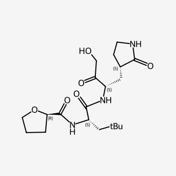 CC(C)(C)C[C@H](NC(=O)[C@H]1CCCO1)C(=O)N[C@@H](C[C@@H]1CCNC1=O)C(=O)CO